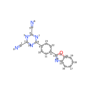 N#Cc1nc(C#N)nc(-c2ccc(-c3nc4ccccc4o3)cc2)n1